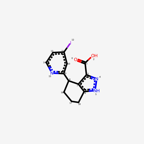 O=C(O)c1n[nH]c2c1C(c1cc(I)ccn1)CCC2